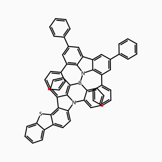 c1ccc(-c2cc(-c3ccccc3)c3c(c2)c2cc(-c4ccccc4)cc(-c4ccccc4)c2n3B2c3ccccc3-n3c4ccc5c6ccccc6sc5c4c4cccc2c43)cc1